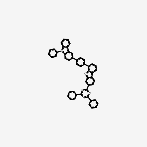 c1ccc(-c2nc(-c3ccccc3)nc(-c3ccc4c(c3)oc3c(-c5ccc(-c6ccc7c(c6)c6ccccc6n7-c6ccccc6)cc5)cccc34)n2)cc1